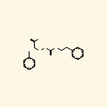 O=C(NO[C@H](Cc1ccccc1)C(=O)O)OCCc1ccccc1